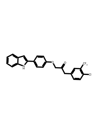 O=C(COc1ccc(-c2cc3ccccc3[nH]2)cc1)Cc1ccc(Cl)c(C(F)(F)F)c1